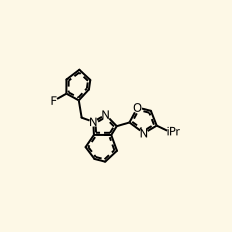 CC(C)c1coc(-c2nn(Cc3ccccc3F)c3ccccc23)n1